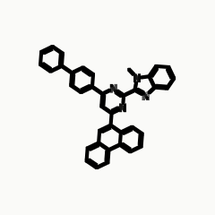 Cn1c(-c2nc(-c3ccc(-c4ccccc4)cc3)cc(-c3cc4ccccc4c4ccccc34)n2)nc2ccccc21